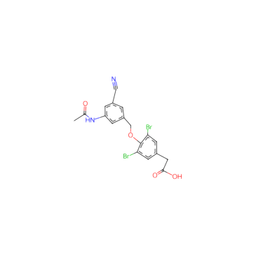 CC(=O)Nc1cc(C#N)cc(COc2c(Br)cc(CC(=O)O)cc2Br)c1